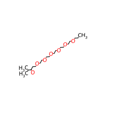 CCCOCCOCCOCCOCCOCCOCCC(=O)C(C)C